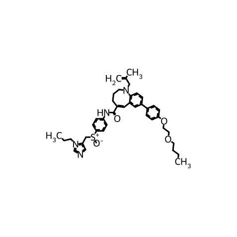 C=C(C)CN1CCCC(C(=O)Nc2ccc([S+]([O-])Cc3cncn3CCC)cc2)=Cc2cc(-c3ccc(OCCOCCCC)cc3)ccc21